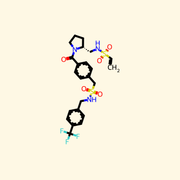 C=CS(=O)(=O)NC[C@H]1CCCN1C(=O)c1ccc(CS(=O)(=O)NCc2ccc(C(F)(F)F)cc2)cc1